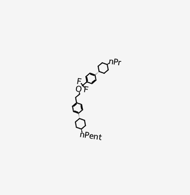 CCCCC[C@H]1CC[C@H](c2ccc(CCOC(F)(F)c3ccc([C@H]4CC[C@H](CCC)CC4)cc3)cc2)CC1